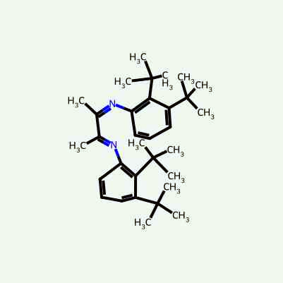 CC(=Nc1cccc(C(C)(C)C)c1C(C)(C)C)C(C)=Nc1cccc(C(C)(C)C)c1C(C)(C)C